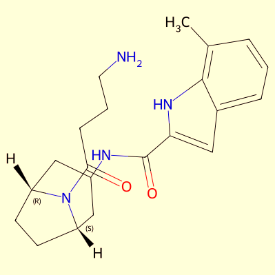 Cc1cccc2cc(C(=O)NC3C[C@H]4CC[C@@H](C3)N4C(=O)CCCN)[nH]c12